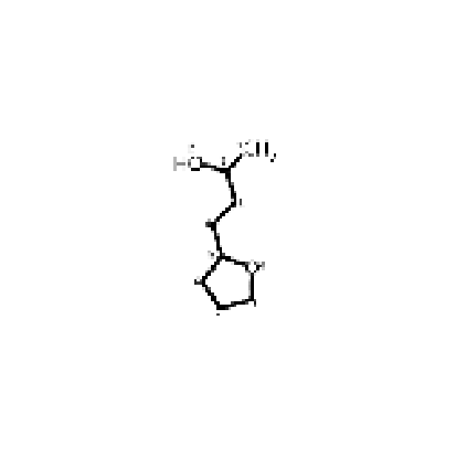 [CH2]C(O)CCC1CCCO1